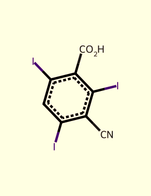 N#Cc1c(I)cc(I)c(C(=O)O)c1I